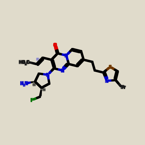 CC(C)c1csc(CCc2ccn3c(=O)c(/C=C/C(=O)O)c(N4C[C@H](CF)[C@H](N)C4)nc3c2)n1